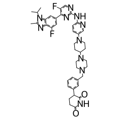 Cc1nc2c(F)cc(-c3nc(Nc4ccc(N5CCC(N6CCN(Cc7cccc(C8CCC(=O)NC8=O)c7)CC6)CC5)cn4)ncc3F)cc2n1C(C)C